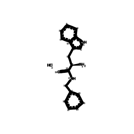 Cl.N[C@H](Cc1c[nH]c2ccccc12)C(=O)NCc1ccccc1